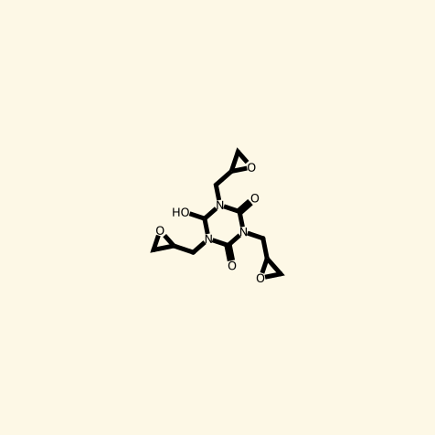 O=C1N(CC2CO2)C(=O)N(CC2CO2)C(O)N1CC1CO1